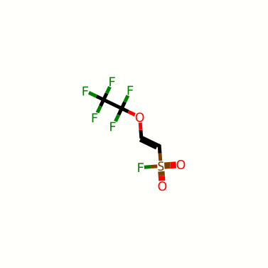 O=S(=O)(F)C=COC(F)(F)C(F)(F)F